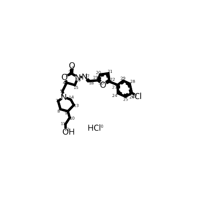 Cl.O=C1OC(CN2CCC(CCO)CC2)CN1N=Cc1ccc(-c2ccc(Cl)cc2)o1